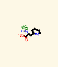 Cl.Cl.N[C@H](Cc1ccccn1)C(=O)O